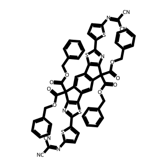 N#CC(C#N)=Nc1ccc(-c2nc3c(s2)-c2cc4c(cc2C3(C(=O)OCc2ccccc2)C(=O)OCc2ccccc2)-c2sc(-c3ccc(N=C(C#N)C#N)s3)nc2C4(C(=O)OCc2ccccc2)C(=O)OCc2ccccc2)s1